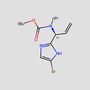 C=C[C@@H](c1ncc(Br)[nH]1)N(CCC)C(=O)OC(C)(C)C